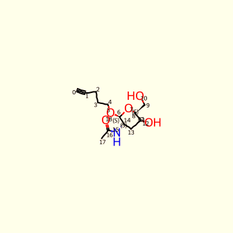 C#CCCCO[C@H]1O[C@@H](CO)[C@@H](O)C[C@@H]1NC(C)=O